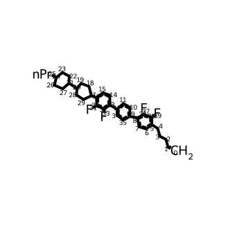 C=CCCCc1ccc(-c2ccc(-c3ccc(C4CCC(C5CCC(CCC)CC5)CC4)c(F)c3F)cc2)c(F)c1F